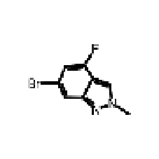 Cn1cc2c(F)cc(Br)cc2n1